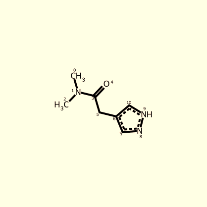 CN(C)C(=O)Cc1[c]n[nH]c1